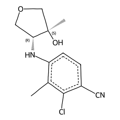 Cc1c(N[C@@H]2COC[C@@]2(C)O)ccc(C#N)c1Cl